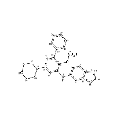 O=C(O)Oc1c(Nc2ccc3[nH]ncc3c2)nc(N2CCOCC2)nc1-c1ccccc1